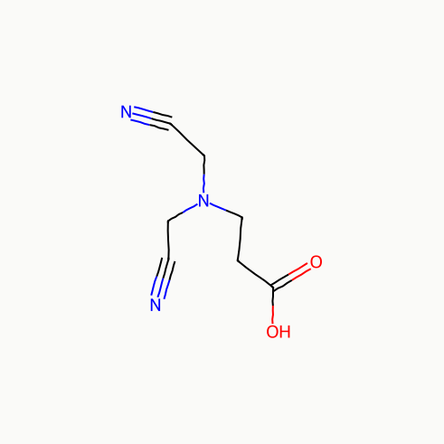 N#CCN(CC#N)CCC(=O)O